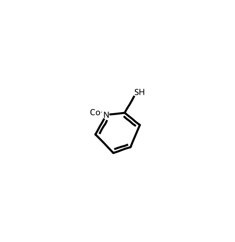 Sc1ccccn1.[Co]